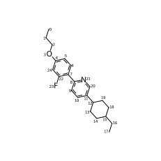 CCCOc1ccc(-c2ccc(C3CCC(CC)CC3)cn2)c(F)c1